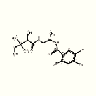 C[C@H](CNC(=O)[C@H](O)C(C)(C)CO)NC(=O)c1cc(F)c(F)cc1F